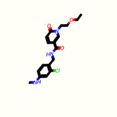 CCOCCn1cc(C(=O)NCc2ccc(NC)cc2Cl)ccc1=O